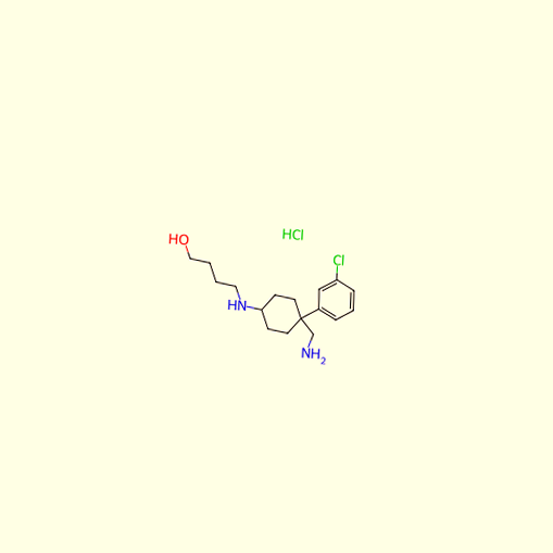 Cl.NCC1(c2cccc(Cl)c2)CCC(NCCCCO)CC1